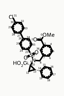 COC(=O)c1cccc(CN([C@]2(C(=O)O)C[C@H]2c2ccccc2)S(=O)(=O)c2ccc(-c3ccc(Cl)cc3)cc2)c1